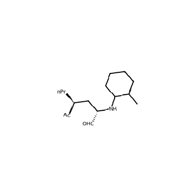 CCC[C@@H](C[C@@H](C=O)NC1CCCCC1C)C(C)=O